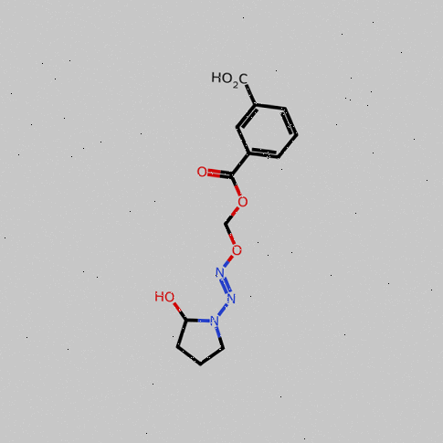 O=C(O)c1cccc(C(=O)OCON=NN2CCCC2O)c1